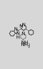 N.NC1CCN(c2c(-c3ccccc3)cnnc2-c2nc3ccccc3[nH]2)CC1